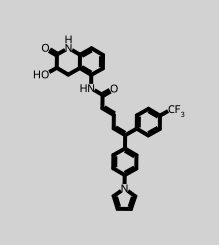 O=C(/C=C/C=C(/c1ccc(-n2cccc2)cc1)c1ccc(C(F)(F)F)cc1)Nc1cccc2c1CC(O)C(=O)N2